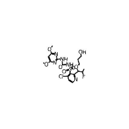 COc1cc(OC)nc(NC(=O)NS(=O)(=O)c2c(Cl)ccnc2C(OCCCO)C(C)F)n1